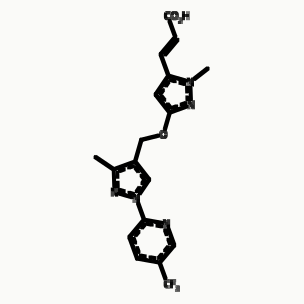 Cc1nn(-c2ccc(C(F)(F)F)cn2)cc1COc1cc(/C=C/C(=O)O)n(C)n1